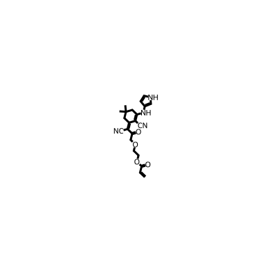 C=CC(=O)OCCOCC(=O)/C(C#N)=C1/CC(C)(C)CC(Nc2cc[nH]c2)=C1C#N